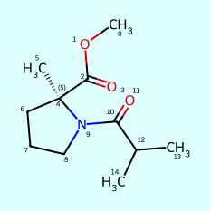 COC(=O)[C@]1(C)CCCN1C(=O)C(C)C